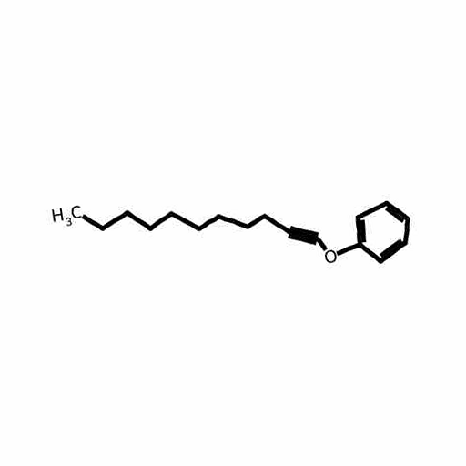 CCCCCCCCCC#COc1ccccc1